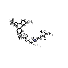 CCN(CCOC(=O)NS(=O)(=O)c1ccc(-n2nc(C(F)(F)F)cc2-c2ccc(C)cc2)cc1)/[N+]([O-])=N/OCOC(=O)C(C)C